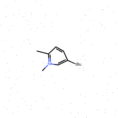 Cc1ccc(C(C)(C)C)c[n+]1C